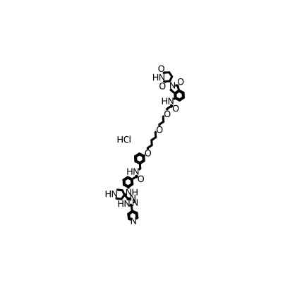 Cl.O=C1CCC(N2Cc3c(NC(=O)COCCCOCCCCCOc4cccc(CNC(=O)c5cccc(NC6(c7nnc(-c8ccncc8)[nH]7)CCNCC6)c5)c4)cccc3C2=O)C(=O)N1